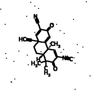 [C-]#[N+]C1=C[C@]2(C)C3=CC(=O)C(C#N)=CC3(C#C)CC[C@H]2C(C)(C)C1=O